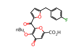 CCCCOc1c(C(=O)c2ccc(Cc3ccc(F)cc3)o2)oc(C(=O)O)cc1=O